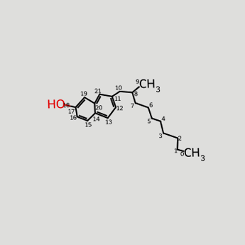 CCCCCCCCC(C)Cc1ccc2ccc(O)cc2c1